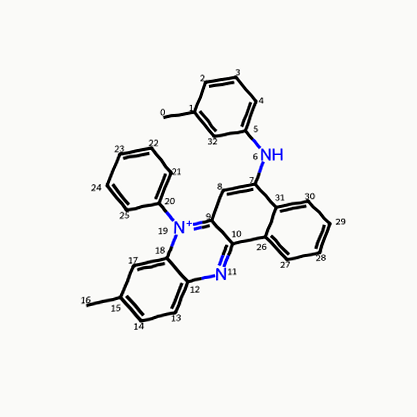 Cc1cccc(Nc2cc3c(nc4ccc(C)cc4[n+]3-c3ccccc3)c3ccccc23)c1